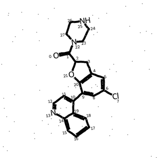 O=C(C1Cc2cc(Cl)cc(-c3ccnc4ccccc34)c2O1)N1CCNCC1